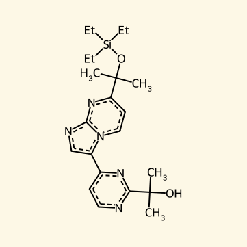 CC[Si](CC)(CC)OC(C)(C)c1ccn2c(-c3ccnc(C(C)(C)O)n3)cnc2n1